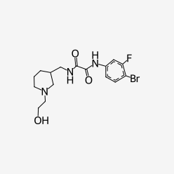 O=C(NCC1CCCN(CCO)C1)C(=O)Nc1ccc(Br)c(F)c1